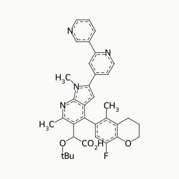 Cc1nc2c(cc(-c3ccnc(-c4cccnc4)c3)n2C)c(-c2cc(F)c3c(c2C)CCCO3)c1C(OC(C)(C)C)C(=O)O